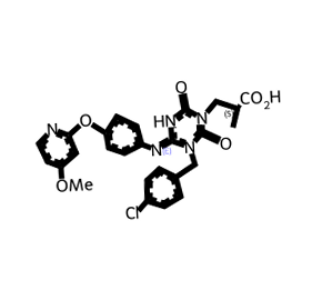 COc1ccnc(Oc2ccc(/N=c3\[nH]c(=O)n(C[C@H](C)C(=O)O)c(=O)n3Cc3ccc(Cl)cc3)cc2)c1